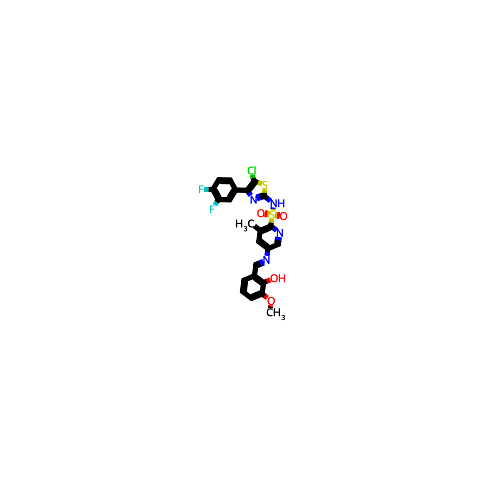 COc1cccc(/C=N/c2cnc(S(=O)(=O)Nc3nc(-c4ccc(F)c(F)c4)c(Cl)s3)c(C)c2)c1O